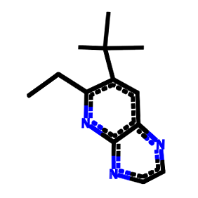 CCc1nc2nccnc2cc1C(C)(C)C